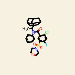 CC(N(C(=O)c1cc(S(=O)(=O)N2CCOCC2)c(F)cc1Cl)c1ccccc1)C12CC3CC(CC(C3)C1)C2